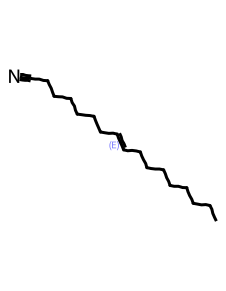 CCCCCCCC/C=C/CCCCCCC#N